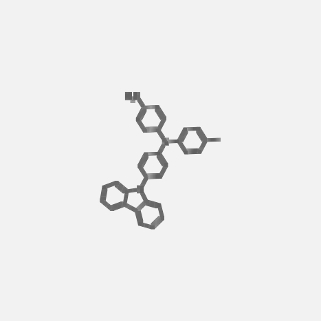 Cc1ccc(N(c2ccc(N)cc2)c2ccc(-n3c4ccccc4c4ccccc43)cc2)cc1